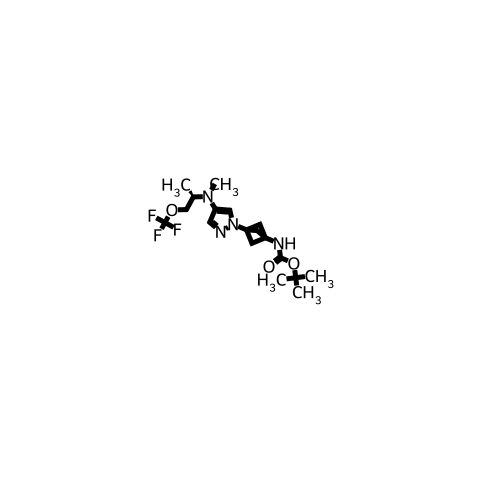 C[C@H](COC(F)(F)F)N(C)c1cnn(C23CC(NC(=O)OC(C)(C)C)(C2)C3)c1